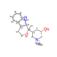 CCCCN(C)CC(CCO)C1(C)OCCc2c1[nH]c1ccccc21